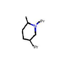 CC(C)C1CCC(C)N(C(C)C)C1